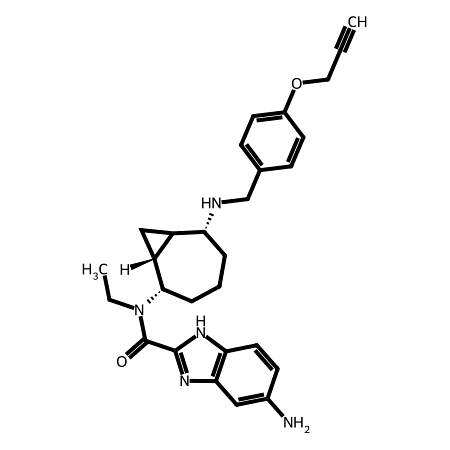 C#CCOc1ccc(CN[C@@H]2CCC[C@H](N(CC)C(=O)c3nc4cc(N)ccc4[nH]3)[C@@H]3CC32)cc1